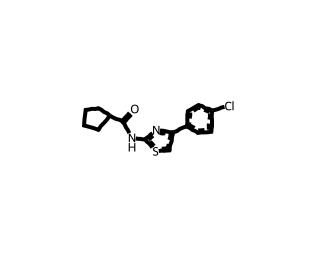 O=C(Nc1nc(-c2ccc(Cl)cc2)cs1)C1CCCC1